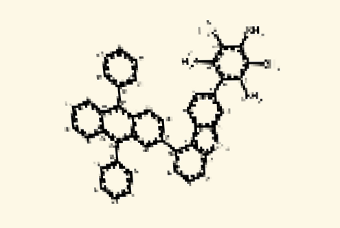 Bc1c(B)c(B)c(-c2ccc3c(c2)oc2cccc(-c4ccc5c(-c6ccccc6)c6ccccc6c(-c6ccccc6)c5c4)c23)c(B)c1B